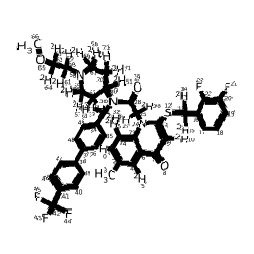 [2H]c1c(C)c([2H])c2c(=O)c([2H])c(SC([2H])([2H])c3cccc(F)c3F)n(C([2H])([2H])C(=O)N(C([2H])([2H])c3ccc(-c4ccc(C(F)(F)F)cc4)cc3)C3([2H])C([2H])([2H])C([2H])([2H])N(C([2H])([2H])C([2H])([2H])OC)C([2H])([2H])C3([2H])[2H])c2c1[2H]